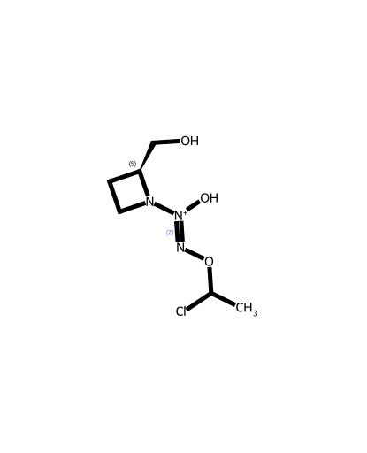 CC(Cl)O/N=[N+](\O)N1CC[C@H]1CO